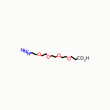 [N-]=[N+]=NCCOCCOCCOCCOCCC(=O)O